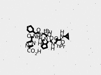 CCC[C@H](NC(=O)[C@@H]1C2CCC[C@H]2CN1C(=O)[C@@H](NC(=O)[C@@H](NC(=O)c1cnc(C(=O)O)cn1)C1CCCCC1)C(C)(C)C)C(=O)C(=O)NC1CC1